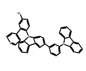 N#Cc1ccc(-n2c3ccccc3c3cc(-c4cccc(-n5c6ccccc6c6ccccc65)c4)ccc32)c(-c2ccncc2)c1